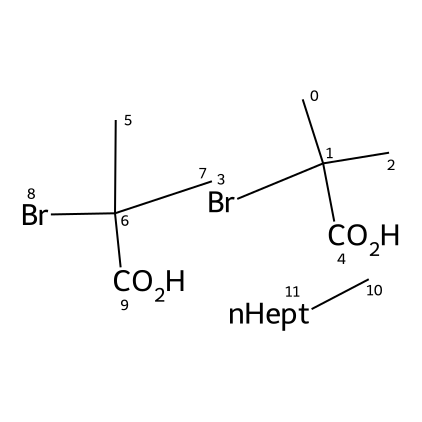 CC(C)(Br)C(=O)O.CC(C)(Br)C(=O)O.CCCCCCCC